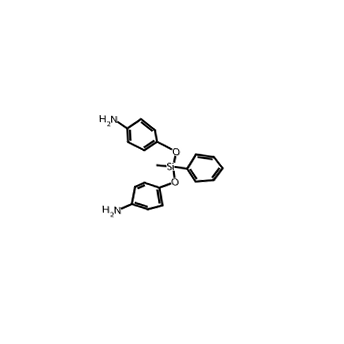 C[Si](Oc1ccc(N)cc1)(Oc1ccc(N)cc1)c1ccccc1